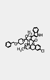 C[C@@H](c1c[nH]c2ccccc12)[C@@H](NC(=O)N1CCC(OCc2ccccc2)CC1)C(=O)N1C[C@@H](CN(C)C)Cc2cc(Cl)ccc21